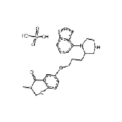 CN1CCc2ccc(OCCCC3CNCCN3c3cccc4sccc34)cc2C1=O.O=S(=O)(O)O